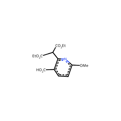 CCOC(=O)C(C(=O)OCC)c1nc(OC)ccc1C(=O)O